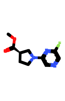 COC(=O)[C@H]1CCN(c2cncc(F)n2)C1